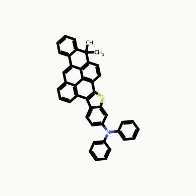 CC1(C)c2ccccc2-c2cc3cccc4c5c6ccc(N(c7ccccc7)c7ccccc7)cc6sc5c5ccc1c2c5c34